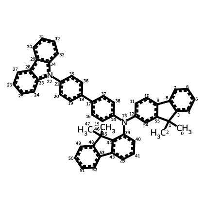 CC1(C)c2ccccc2-c2ccc(N(c3ccc(-c4ccc(-n5c6ccccc6c6ccccc65)cc4)cc3)c3cccc4c3C(C)(C)c3ccccc3-4)cc21